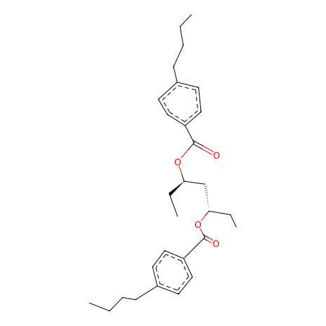 CCCCc1ccc(C(=O)O[C@H](CC)C[C@H](CC)OC(=O)c2ccc(CCCC)cc2)cc1